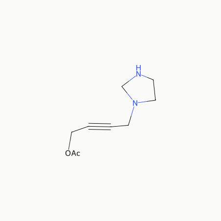 CC(=O)OCC#CCN1CCNC1